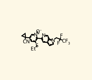 CCSc1cc(C2(C#N)CC2)c[n+]([O-])c1-c1cc2ccn(CC(F)(F)C(F)(F)F)c2cn1